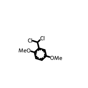 COc1ccc(OC)c(C(Cl)Cl)c1